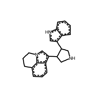 c1ccc2c(C3CNCC3c3cn4c5c(cccc35)CCC4)c[nH]c2c1